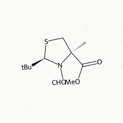 COC(=O)[C@]1(C)CS[C@H](C(C)(C)C)N1C=O